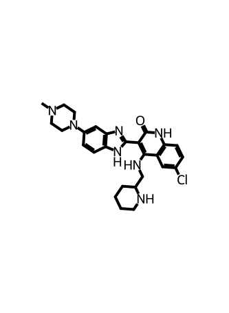 CN1CCN(c2ccc3[nH]c(-c4c(NCC5CCCCN5)c5cc(Cl)ccc5[nH]c4=O)nc3c2)CC1